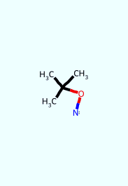 CC(C)(C)O[N]